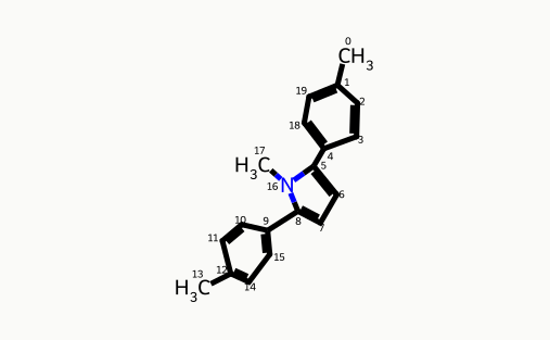 Cc1ccc(-c2ccc(-c3ccc(C)cc3)n2C)cc1